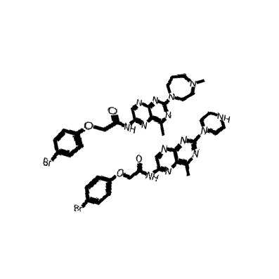 Cc1nc(N2CCCN(C)CC2)nc2ncc(NC(=O)COc3ccc(Br)cc3)nc12.Cc1nc(N2CCNCC2)nc2ncc(NC(=O)COc3ccc(Br)cc3)nc12